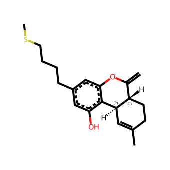 C=C1Oc2cc(CCCCSC)cc(O)c2[C@@H]2C=C(C)CC[C@@H]12